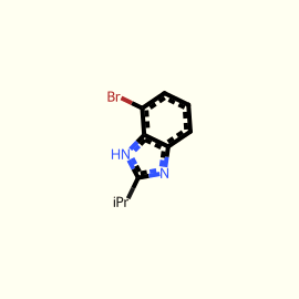 CC(C)c1nc2cccc(Br)c2[nH]1